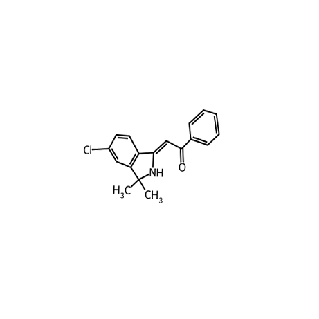 CC1(C)N/C(=C\C(=O)c2ccccc2)c2ccc(Cl)cc21